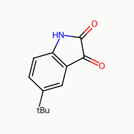 CC(C)(C)c1ccc2c(c1)C(=O)C(=O)N2